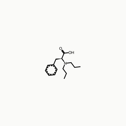 CCCN(CCC)[C@@H](Cc1ccccc1)C(=O)O